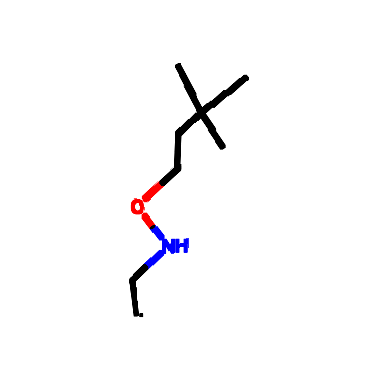 [CH2]CNOCCC(C)(C)C